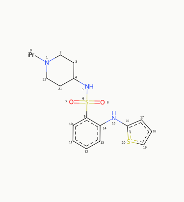 CC(C)N1CCC(NS(=O)(=O)c2ccccc2Nc2cccs2)CC1